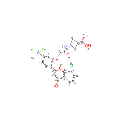 O=C(COc1cc(C(F)(F)F)ccc1-c1cc(=O)c2cccc(Cl)c2o1)NC1CC(C(=O)O)C1